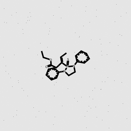 C/C=C(/CC(=O)OCC)P1(=S)N(c2ccccc2)CCN1c1ccccc1